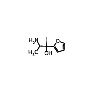 CC(N)C(O)(I)c1ccco1